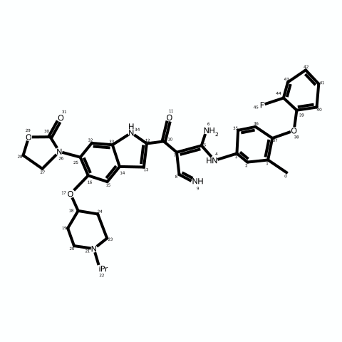 Cc1cc(N/C(N)=C(\C=N)C(=O)c2cc3cc(OC4CCN(C(C)C)CC4)c(N4CCOC4=O)cc3[nH]2)ccc1Oc1ccccc1F